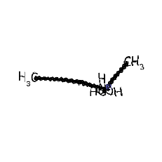 CCCCCCCCCCCCC/C=C/C(O)C(CO)NC(=O)CCCCCCCCCCCCCCCCCCCCCCCCCCCCC